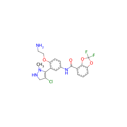 CN1NCC(Cl)=C1c1cc(NC(=O)c2cccc3c2OC(F)(F)O3)ccc1OCCN